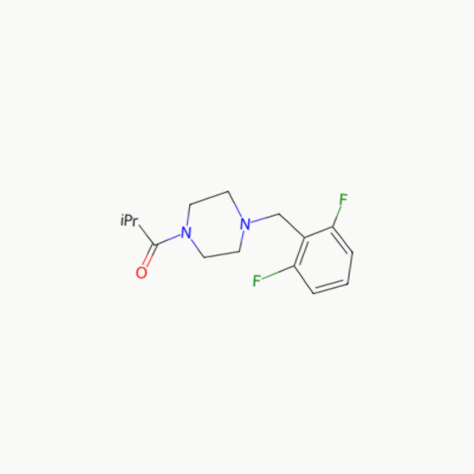 CC(C)C(=O)N1CCN(Cc2c(F)cccc2F)CC1